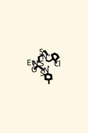 CCn1c(=O)/c(=C2\Sc3cc(C)ccc3N2C)s/c1=C\c1scc[n+]1CCc1ccccc1Cl